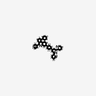 c1ccc(-c2cccc3c(-c4ccncc4)nc4cc(-c5ccc(-c6cc(-c7ccccn7)nc(-c7ccccn7)c6)cc5)ccc4c23)cc1